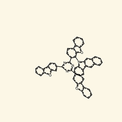 c1ccc2cc3c(cc2c1)c1ccccc1n3-c1c(-c2nc(-c3ccc4c(c3)oc3ccccc34)nc(-c3ccc4c(c3)oc3ccccc34)n2)ccc2c1oc1ccccc12